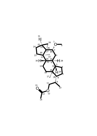 CO[C@@H]1C[C@H]2[C@@H]3CC[C@H](C(C)COC(C)=O)[C@@]3(C)CC[C@@H]2[C@@]2(C)CC[C@H]3C[C@]312